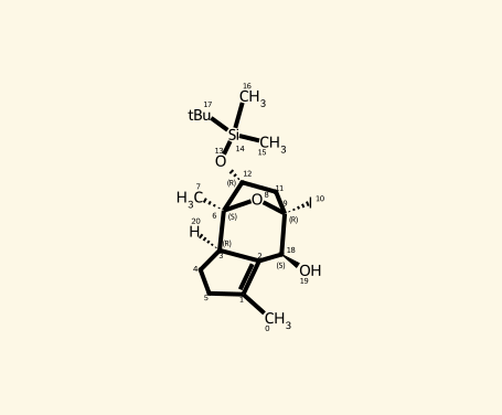 CC1=C2[C@@H](CC1)[C@]1(C)O[C@@](I)(C[C@H]1O[Si](C)(C)C(C)(C)C)[C@H]2O